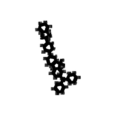 CC1(C)c2cc(-c3ccc(-c4nc5ccccc5s4)cc3)ccc2-c2ccc(N(c3ccccc3)c3ccccc3)cc21